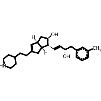 Cc1cccc(C[C@H](O)/C=C/[C@@H]2[C@H]3CC(CCC4CCNCC4)=C[C@H]3C[C@H]2O)c1